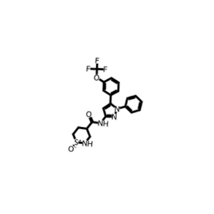 O=C(Nc1cc(-c2cccc(OC(F)(F)F)c2)n(-c2ccccc2)n1)C1CC[S+]([O-])NC1